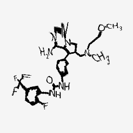 COCCN(C)CC1CN2N=CN=C(N)C2=C1c1ccc(NC(=O)Nc2cc(C(F)(F)F)ccc2F)cc1